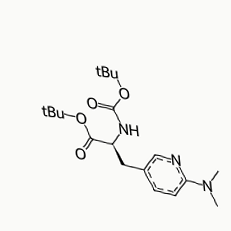 CN(C)c1ccc(C[C@H](NC(=O)OC(C)(C)C)C(=O)OC(C)(C)C)cn1